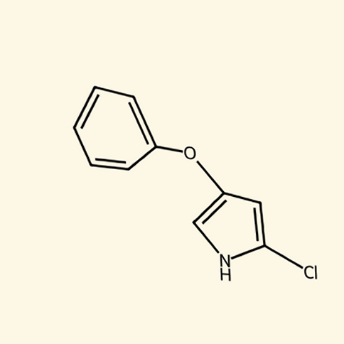 Clc1cc(Oc2ccccc2)c[nH]1